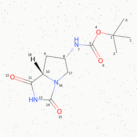 CC(C)(C)OC(=O)N[C@H]1C[C@H]2C(=O)NC(=O)N2C1